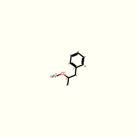 CCCOC(C)Cc1ccccc1